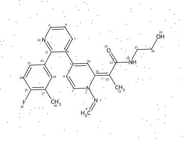 C=NN1C=CC(c2cccnc2-c2ccc(F)c(C)c2)=C/C1=C(/C)C(=O)NCCO